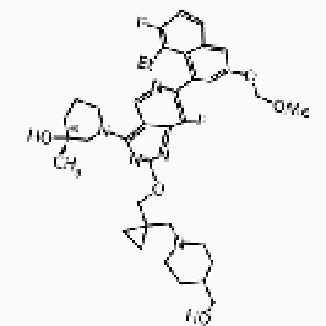 CCc1c(F)ccc2cc(OCOC)cc(-c3ncc4c(N5CCC[C@@](C)(O)C5)nc(OCC5(CN6CCC(CO)CC6)CC5)nc4c3F)c12